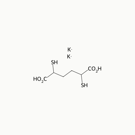 O=C(O)C(S)CCC(S)C(=O)O.[K].[K]